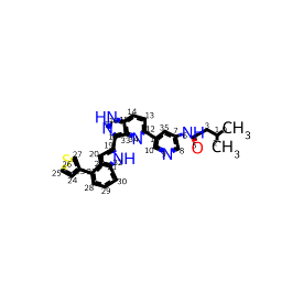 CC(C)CC(=O)Nc1cncc(-c2ccc3[nH]nc(-c4cc5c(-c6ccsc6)cccc5[nH]4)c3n2)c1